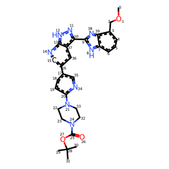 COCc1cccc2[nH]c(-c3n[nH]c4ncc(-c5ccc(N6CCN(C(=O)OC(C)(C)C)CC6)nc5)cc34)nc12